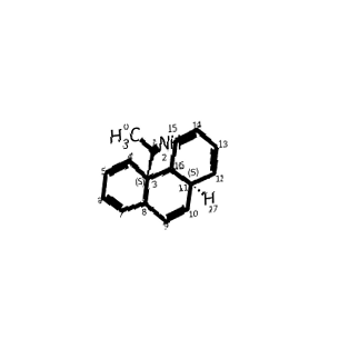 CC(=N)[C@]12C=CC=CC1C=C[C@@H]1C=CC=CC12